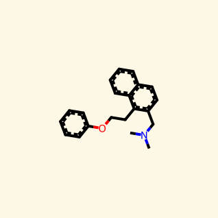 CN(C)Cc1ccc2ccccc2c1CCOc1ccccc1